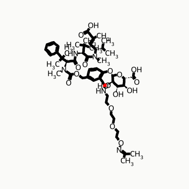 CC(C)=NOCCOCCOCCNC(=O)c1cc(COC(=O)N(C)[C@H](C(=O)N[C@H](C(=O)N(C)[C@H](/C=C(\C)C(=O)O)C(C)C)C(C)(C)C)C(C)(C)c2ccccc2)ccc1O[C@@H]1O[C@H](C(=O)O)[C@@H](O)[C@H](O)[C@H]1O